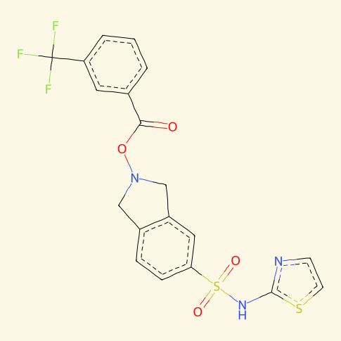 O=C(ON1Cc2ccc(S(=O)(=O)Nc3nccs3)cc2C1)c1cccc(C(F)(F)F)c1